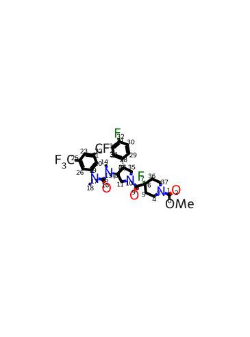 COC(=O)N1CCC(F)(C(=O)N2C[C@@H](N(C)C(=O)N(C)c3cc(C(F)(F)F)cc(C(F)(F)F)c3)[C@H](c3ccc(F)cc3)C2)CC1